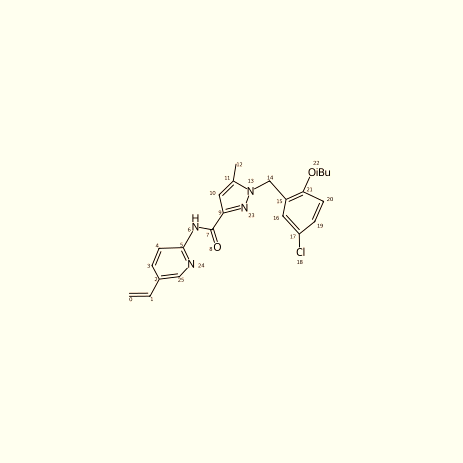 C=Cc1ccc(NC(=O)c2cc(C)n(Cc3cc(Cl)ccc3OCC(C)C)n2)nc1